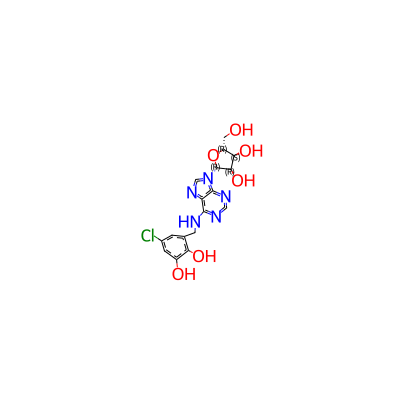 OC[C@H]1O[C@@H](n2cnc3c(NCc4cc(Cl)cc(O)c4O)ncnc32)[C@H](O)[C@@H]1O